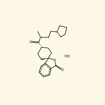 CN(CCN1CCCC1)C(=O)[C@H]1CC[C@@]2(CC1)OC(=O)c1ccccc12.Cl